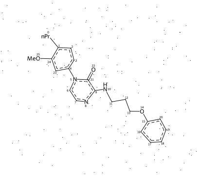 CCCc1ccc(-n2ccnc(NCCCOc3ccccc3)c2=O)cc1OC